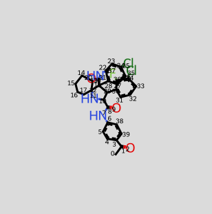 CC(=O)c1ccc(NC(=O)C2NC3(CCCCC3)C3(C(=O)Nc4cc(Cl)ccc43)C2c2cccc(Cl)c2F)cc1